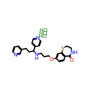 Cl.Cl.Cl.O=C1NCCSc2cc(OCCCNC(CCc3cccnc3)c3ccncc3)ccc21